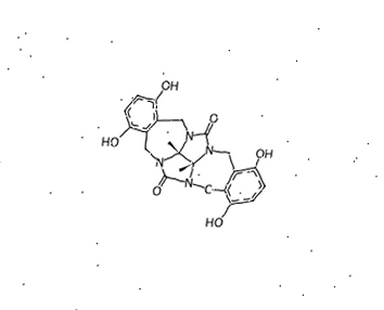 C[C@]12N3Cc4c(O)ccc(O)c4CN1C(=O)N1Cc4c(O)ccc(O)c4CN(C3=O)[C@]12C